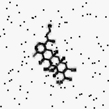 Cc1ccc(C(=O)CCC(C)C)c2c1C(=O)C1=C(O)[C@@]3(O)C(=O)C(C(N)=O)=C(O)C[C@H]3C[C@H]1C2